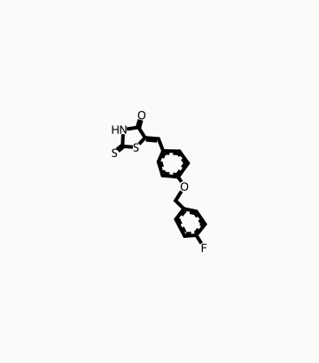 O=C1NC(=S)S/C1=C\c1ccc(OCc2ccc(F)cc2)cc1